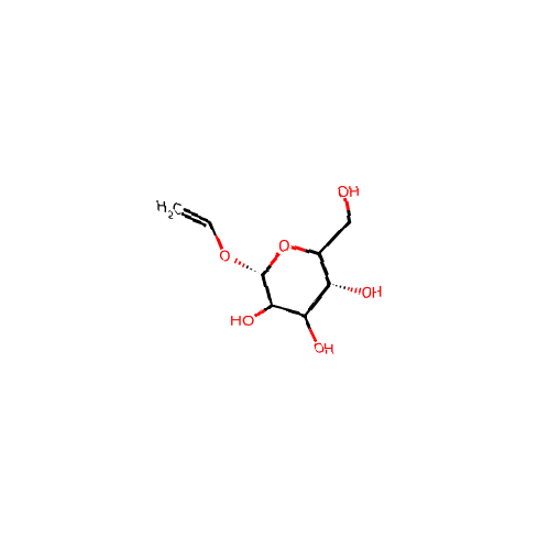 C=CO[C@@H]1OC(CO)[C@H](O)C(O)C1O